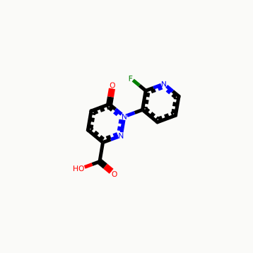 O=C(O)c1ccc(=O)n(-c2cccnc2F)n1